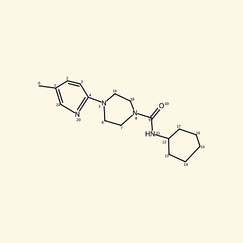 Cc1ccc(N2CCN(C(=O)NC3CCCCC3)CC2)nc1